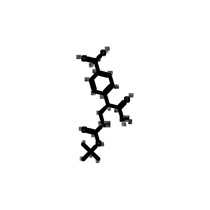 CC(C)(C)OC(=O)NC[C@H](C(N)=O)c1ccc([N+](=O)[O-])cc1